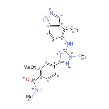 COc1cc(-c2nc(Nc3ccc4[nH]ncc4c3C)n(C)n2)ccc1C(=O)NC(C)(C)C